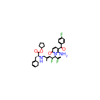 C=C(F)C(C(F)/C=C(\C)CN[C@@H](CC1=CC=CCC1)C(=O)OC1CCCC1)n1c(N)c(C(=O)c2ccc(F)cc2)ccc1=O